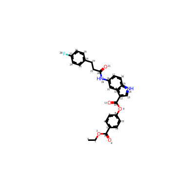 CCOC(=O)c1ccc(OC(=O)c2c[nH]c3ccc(NC(=O)CCc4ccc(F)cc4)cc23)cc1